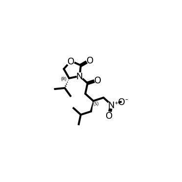 CC(C)C[C@@H](CC(=O)N1C(=O)OC[C@H]1C(C)C)C[N+](=O)[O-]